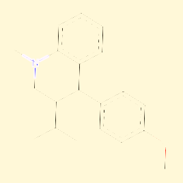 COc1ccc(C2c3ccccc3N(C)CC2C(C)C)cc1